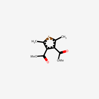 COC(=O)c1c(C)sc(C)c1C(=O)OC